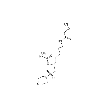 CNC(=O)OC(CCCCCNC(=O)CON)CS(=O)(=O)N1CCOCC1